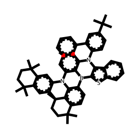 Cc1cc2c3c(c1)N(c1ccc(C(C)(C)C)cc1-c1ccccc1)c1c(sc4ccccc14)B3c1ccc3c4c1N2c1cc2c(cc1C4(C)CCC3(C)C)C(C)(C)CCC2(C)C